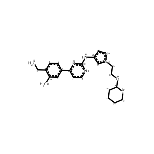 CCc1ccc(-c2ccnc(Nc3cnn(CCOC4CCCCO4)c3)n2)cc1C